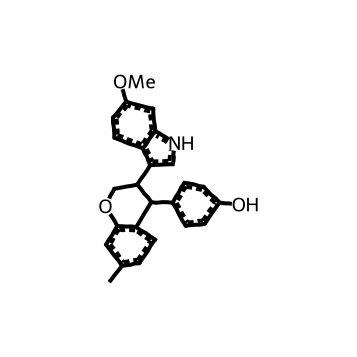 COc1ccc2c(C3COc4cc(C)ccc4C3c3ccc(O)cc3)c[nH]c2c1